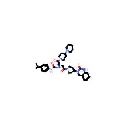 CC(C)c1ccc(NC(=O)N[C@H](CC(=O)N2CCC(N3Cc4ccccc4NC3=O)CC2)C(=O)N2CCC(N3CCCCC3)CC2)cc1